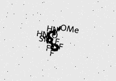 COCCNC(=O)Cc1[nH]c(=S)n2c1CC(c1c(F)c(F)cc(F)c1F)C2